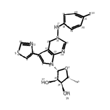 C[C@H]1O[C@@H](n2cc(-c3cscn3)c3c2N=CN(Nc2ccc(F)cc2)C3)[C@H](O)[C@@H]1O